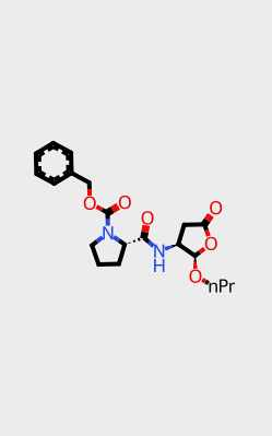 CCCO[C@@H]1OC(=O)C[C@@H]1NC(=O)[C@@H]1CCCN1C(=O)OCc1ccccc1